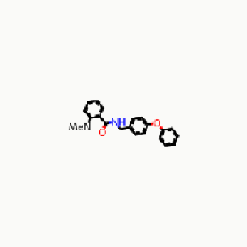 CNc1ccccc1C(=O)NCc1ccc(Oc2ccccc2)cc1